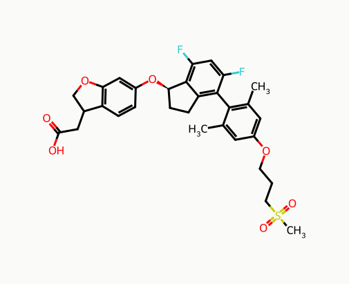 Cc1cc(OCCCS(C)(=O)=O)cc(C)c1-c1c(F)cc(F)c2c1CC[C@H]2Oc1ccc2c(c1)OCC2CC(=O)O